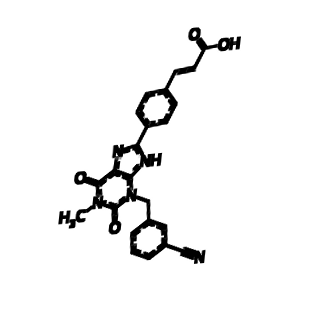 Cn1c(=O)c2nc(-c3ccc(C=CC(=O)O)cc3)[nH]c2n(Cc2cccc(C#N)c2)c1=O